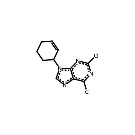 Clc1nc(Cl)c2ncn(C3C=CCCC3)c2n1